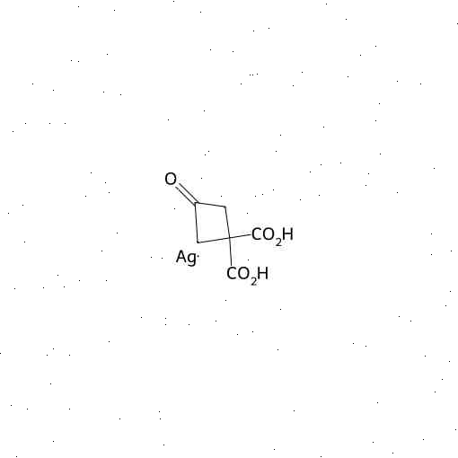 O=C1CC(C(=O)O)(C(=O)O)C1.[Ag]